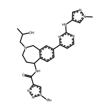 CC(O)CN1CCC(NC(=O)c2cn(C(C)(C)C)nn2)c2ccc(-c3ccnc(Nc4cnn(C)c4)n3)cc2C1